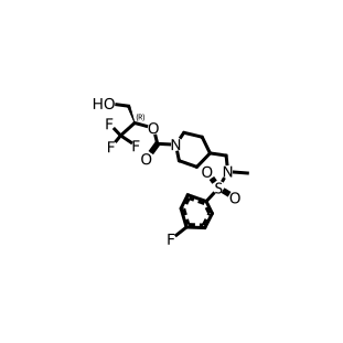 CN(CC1CCN(C(=O)O[C@H](CO)C(F)(F)F)CC1)S(=O)(=O)c1ccc(F)cc1